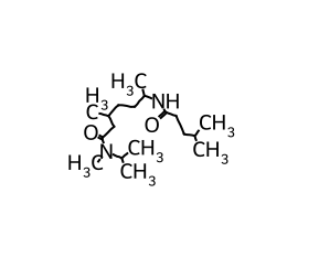 CC(C)CCC(=O)NC(C)CCC(C)CC(=O)N(C)C(C)C